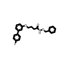 O=C(CCCOc1cccc(-c2ccc(F)cc2)c1)NOCc1ccccc1